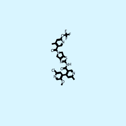 COc1cnc(Cl)cc1-c1cc(C)ncc1C(=O)Nc1nc2c(s1)CN(C(=O)c1cnc(OC(F)(F)F)cc1C)C2